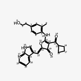 Cc1cc(CCO)ccc1NC1=C(C(=O)C2CCC2)C(=O)/C(=C/c2c[nH]c3ncccc23)O1